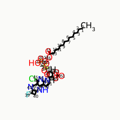 CCCCCCCCCCCCCCC(=O)OCOP(=O)(O)CS(=O)(=O)C[C@H]1O[C@@H](n2ccc3c(N[C@H]4C[C@@H](F)C4)c(C#N)c(Cl)nc32)[C@@H]2OC(=O)O[C@@H]21